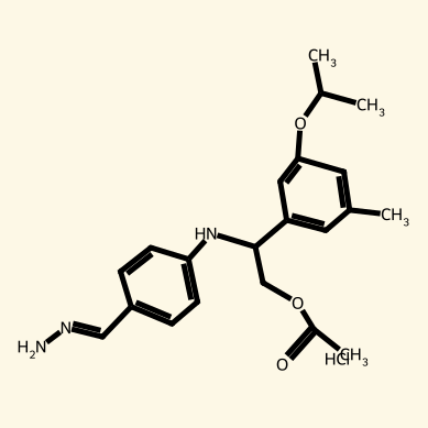 CC(=O)OCC(Nc1ccc(C=NN)cc1)c1cc(C)cc(OC(C)C)c1.Cl